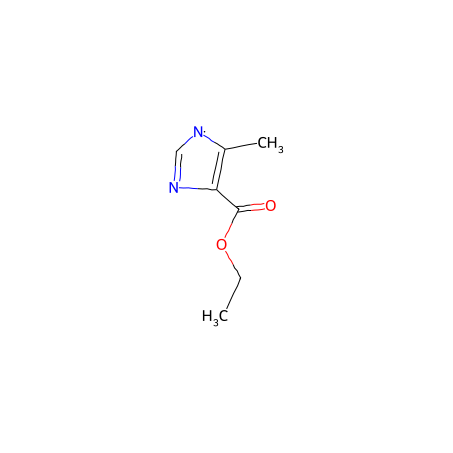 CCOC(=O)C1=C(C)[N]C=N1